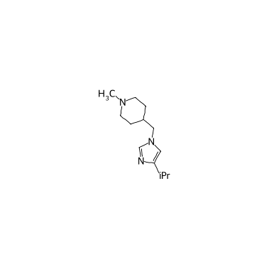 CC(C)c1cn(CC2CCN(C)CC2)cn1